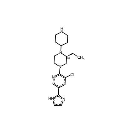 CC[C@H]1CN(c2ncc(-c3ncc[nH]3)cc2Cl)CCN1C1CCNCC1